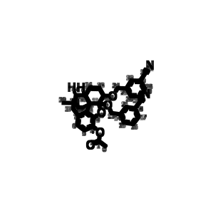 CC(=O)Oc1ccc2c3c1OC1(OCc4cccc(C#N)c4)C(OCc4cccc(C#N)c4)C=C[C@H]4[C@@H](C2)N(C)CC[C@@]341